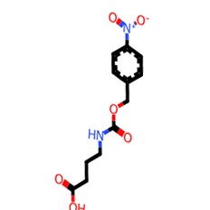 O=C(O)CCCNC(=O)OCc1ccc([N+](=O)[O-])cc1